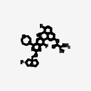 C#Cc1c(F)ccc2cc(OC(=O)[C@@H](N)C(C)C)cc(-c3ncc4c(N5CCCOCC5)nc(OC[C@@]56CCCN5C[C@H](F)C6)nc4c3F)c12